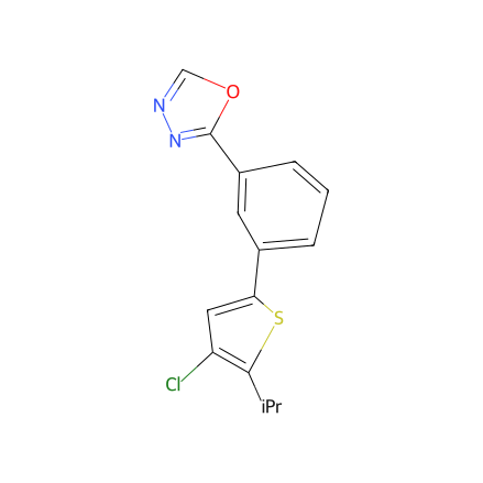 CC(C)c1sc(-c2cccc(-c3nnco3)c2)cc1Cl